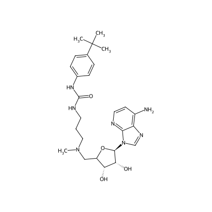 CN(CCCNC(=O)Nc1ccc(C(C)(C)C)cc1)CC1O[C@@H](n2cnc3c(N)ccnc32)[C@H](O)[C@@H]1O